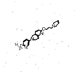 Cc1ccc(N2CCc3nc(OCCCN4CCCC4)ccc3C2)cn1